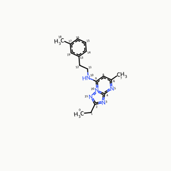 CCc1nc2nc(C)cc(NCCc3cccc(C)c3)n2n1